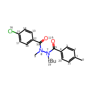 Cc1ccc(C(=O)N(N(C)C(=O)c2ccc(Cl)cc2)C(C)(C)C)cc1